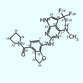 CNc1nc(Nc2ccc(C(=O)N3CCCC3)c3c2OCC3)nc2[nH]cc(C(F)(F)F)c12